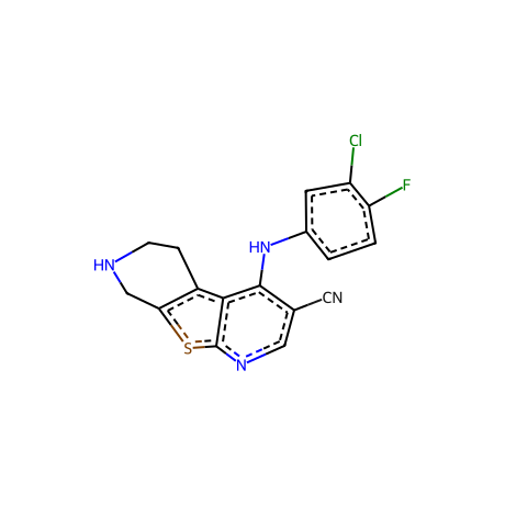 N#Cc1cnc2sc3c(c2c1Nc1ccc(F)c(Cl)c1)CCNC3